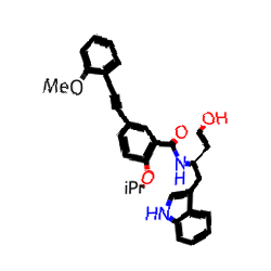 COc1ccccc1C#Cc1ccc(OC(C)C)c(C(=O)N[C@@H](CCO)Cc2c[nH]c3ccccc23)c1